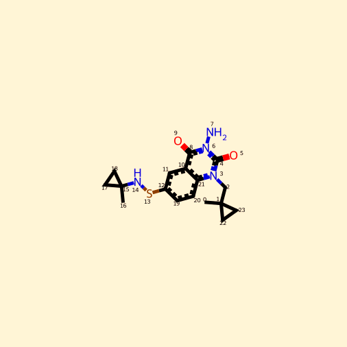 CC1(Cn2c(=O)n(N)c(=O)c3cc(SNC4(C)CC4)ccc32)CC1